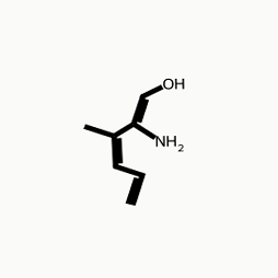 C=C/C=C(C)\C(N)=C\O